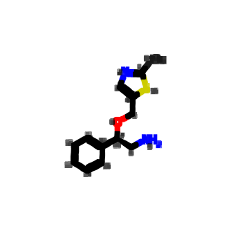 CC(C)(C)c1ncc(CO[C@@H](CN)c2ccccc2)s1